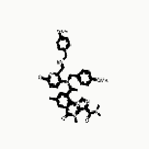 COc1ccc(CNCc2nc(Cl)ccc2N(Cc2ccc(OC)cc2)C(C)c2cc(C)cc3c(=O)n(C)c4c(C(=O)N(C)C)ncn4c23)cc1